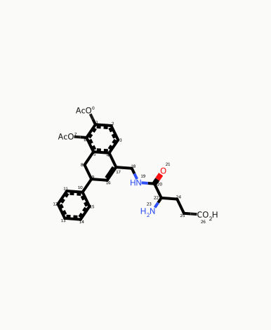 CC(=O)Oc1ccc2c(c1OC(C)=O)CC(c1ccccc1)C=C2CNC(=O)C(N)CCC(=O)O